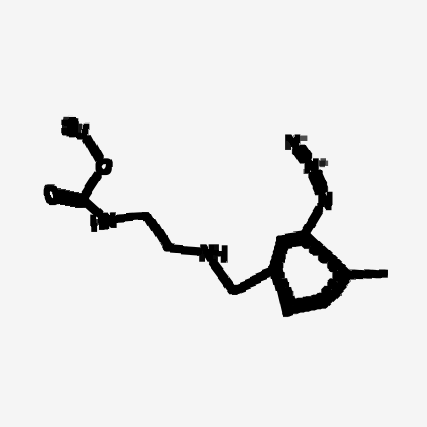 Cc1ccc(CNCCNC(=O)OC(C)(C)C)cc1N=[N+]=[N-]